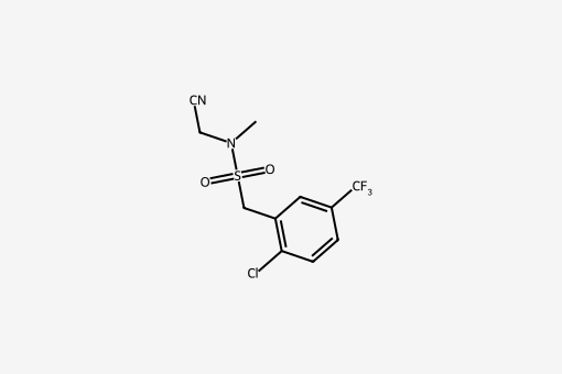 CN(CC#N)S(=O)(=O)Cc1cc(C(F)(F)F)ccc1Cl